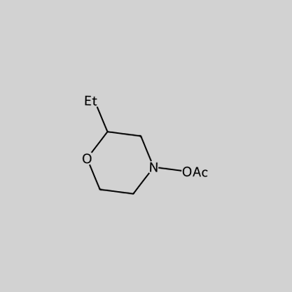 CCC1CN(OC(C)=O)CCO1